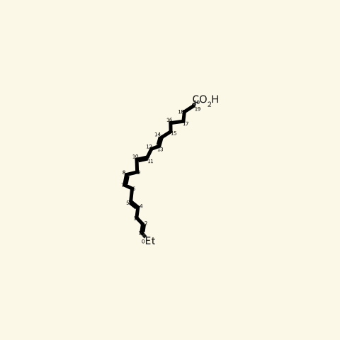 CC/C=C/C/C=C/C/C=C\C/C=C/C/C=C/CCCCCC(=O)O